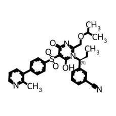 CC[C@@H](c1cccc(C#N)c1)n1c(COC(C)C)nc(=O)c(S(=O)(=O)c2ccc(-c3cccnc3C)cc2)c1O